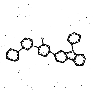 Brc1cc(-c2ccc3c4ccccc4n(-c4ccccc4)c3c2)ccc1-c1cccc(-c2ccccc2)c1